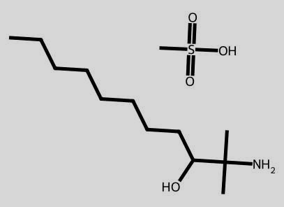 CCCCCCCCC(O)C(C)(C)N.CS(=O)(=O)O